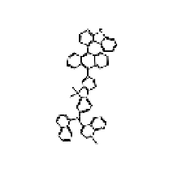 Cc1ccc(N(c2ccc3c(c2)C(C)(C)c2cc(-c4c5ccccc5c(-c5cccc6sc7ccccc7c56)c5ccccc45)ccc2-3)c2cccc3ccccc23)c2ccccc12